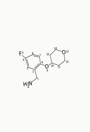 NCc1cc(F)ccc1OC1CCOCC1